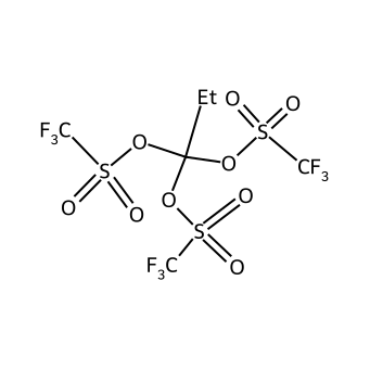 CCC(OS(=O)(=O)C(F)(F)F)(OS(=O)(=O)C(F)(F)F)OS(=O)(=O)C(F)(F)F